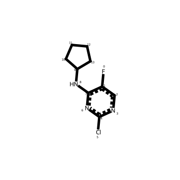 Fc1cnc(Cl)nc1NC1CCCC1